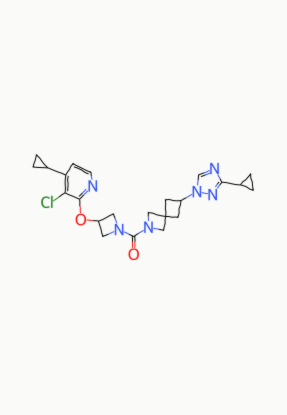 O=C(N1CC(Oc2nccc(C3CC3)c2Cl)C1)N1CC2(CC(n3cnc(C4CC4)n3)C2)C1